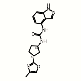 Cc1coc([C@H]2CC[C@@H](NC(=O)Nc3cccc4[nH]ncc34)C2)n1